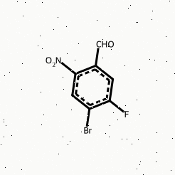 O=Cc1cc(F)c(Br)cc1[N+](=O)[O-]